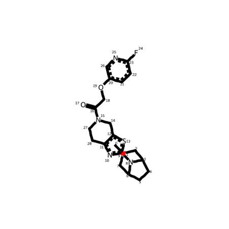 CN1CC2CCC(C1)N2c1nc2c(s1)CN(C(=O)COc1ccc(F)nc1)CC2